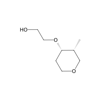 C[C@@H]1COCC[C@@H]1OCCO